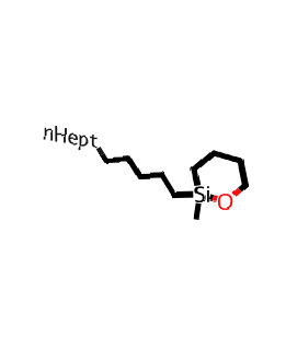 CCCCCCCCCCCC[Si]1(C)CCCCO1